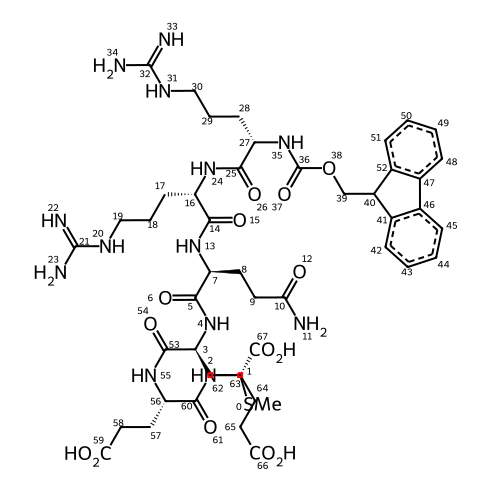 CSCC[C@H](NC(=O)[C@H](CCC(N)=O)NC(=O)[C@H](CCCNC(=N)N)NC(=O)[C@H](CCCNC(=N)N)NC(=O)OCC1c2ccccc2-c2ccccc21)C(=O)N[C@@H](CCC(=O)O)C(=O)N[C@@H](CCC(=O)O)C(=O)O